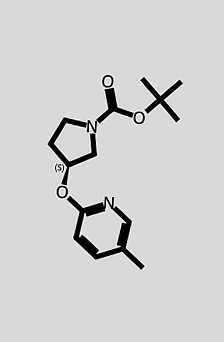 Cc1ccc(O[C@H]2CCN(C(=O)OC(C)(C)C)C2)nc1